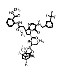 CC[C@H](NC(=O)[C@@H]1C[C@@](C)(CC(=O)Nc2ccccc2C(=O)NC)c2ncc(NCc3cccc(C(F)(F)F)c3)c(=O)n21)B1O[C@@H]2C[C@@H]3C[C@@H](C3(C)C)[C@]2(C)O1